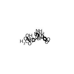 C[C@@H](NC(=O)O)C(=O)N1CCC(Cn2cnc(N)c3nc(Sc4cc5c(cc4Br)OCO5)nc2-3)CC1